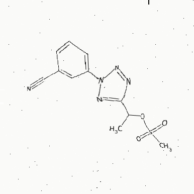 CC(OS(C)(=O)=O)c1nnn(-c2cccc(C#N)c2)n1